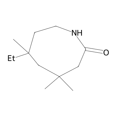 CCC1(C)CCNC(=O)CC(C)(C)C1